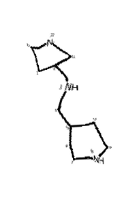 C1CC(NCC2CCNCC2)C[N]1